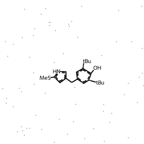 CSc1cc(Cc2cc(C(C)(C)C)c(O)c(C(C)(C)C)c2)c[nH]1